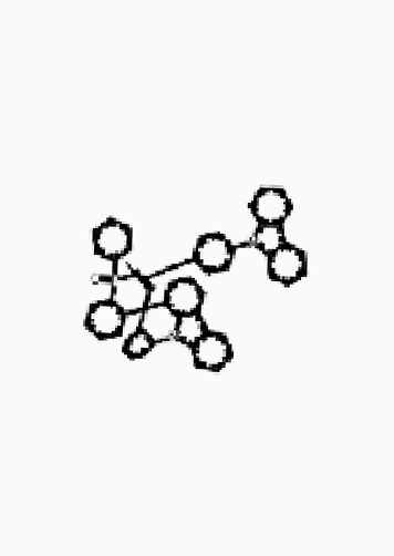 O=P1(c2ccccc2)c2ccccc2C2(c3ccccc3-n3c4ccccc4c4cccc2c43)c2cc(-c3ccc(-n4c5ccccc5c5ccccc54)cc3)ccc21